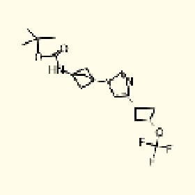 CC(C)(C)OC(=O)NC12CC(n3cnc([C@H]4C[C@@H](OC(F)(F)F)C4)c3)(C1)C2